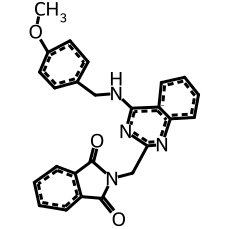 COc1ccc(CNc2nc(CN3C(=O)c4ccccc4C3=O)nc3ccccc23)cc1